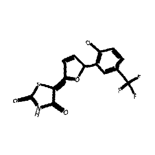 O=C1NC(=O)C(=C2C=CC(c3cc(C(F)(F)F)ccc3Cl)O2)S1